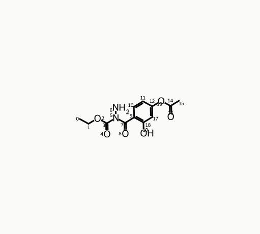 CCOC(=O)N(N)C(=O)c1ccc(OC(C)=O)cc1O